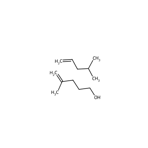 C=C(C)CCCO.C=CCC(C)C